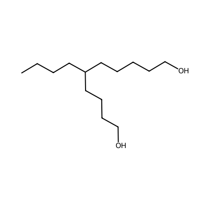 CCCCC(CCCCO)CCCCCO